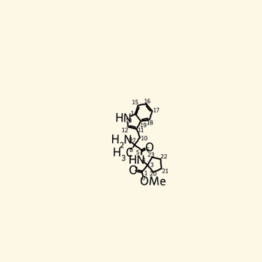 COC(=O)C1(NC(=O)C(C)(N)Cc2c[nH]c3ccccc23)CCCC1